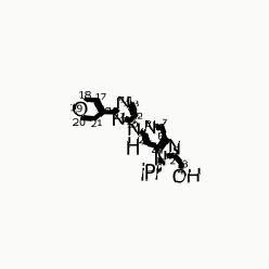 CC(C)n1c(CO)nc2cnc(Nc3ccnc(C4=CCOCC4)n3)cc21